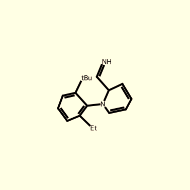 CCc1cccc(C(C)(C)C)c1N1C=CC=CC1C=N